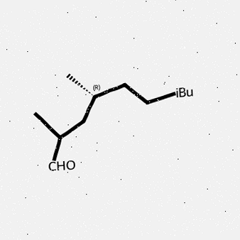 CCC(C)CC[C@@H](C)CC(C)C=O